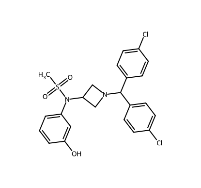 CS(=O)(=O)N(c1cccc(O)c1)C1CN(C(c2ccc(Cl)cc2)c2ccc(Cl)cc2)C1